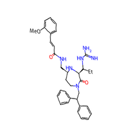 CCC(NC(=N)N)[C@@H]1N[C@H](CNC(=O)/C=C/c2ccccc2OC)CCN(CC(c2ccccc2)c2ccccc2)C1=O